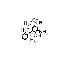 CC(C)(C)c1cc(N)c(O)c(C(C)(C)c2ccccc2)c1